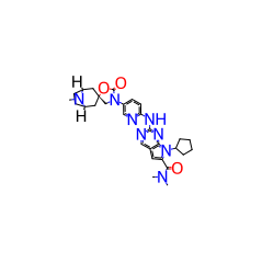 CN(C)C(=O)c1cc2cnc(Nc3ccc(N4C[C@@]5(C[C@H]6CC[C@@H](C5)N6C)OC4=O)cn3)nc2n1C1CCCC1